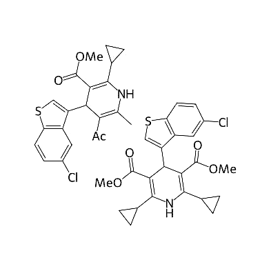 COC(=O)C1=C(C2CC2)NC(C)=C(C(C)=O)C1c1csc2ccc(Cl)cc12.COC(=O)C1=C(C2CC2)NC(C2CC2)=C(C(=O)OC)C1c1csc2ccc(Cl)cc12